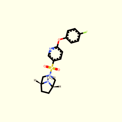 CCOC(=O)N1[C@@H]2CC[C@H]1CN(S(=O)(=O)c1ccc(Oc3ccc(F)cc3)nc1)C2